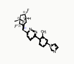 C[C@]12C[C@H](F)[C@H](C/C(=C\c3ccc(-c4ccc(-n5ccnc5)cc4O)nn3)[C@@H]1F)N2